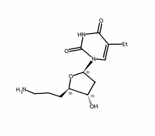 CCc1cn([C@H]2C[C@H](O)[C@@H](CCCN)O2)c(=O)[nH]c1=O